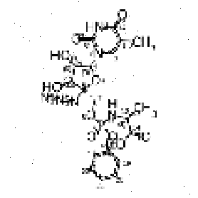 Cc1cn([C@@H]2O[C@@](COP(=O)(N[C@@H](C)C(=O)O)Oc3ccccc3)(N=[N+]=[N-])[C@@H](O)[C@H]2O)c(=O)[nH]c1=O